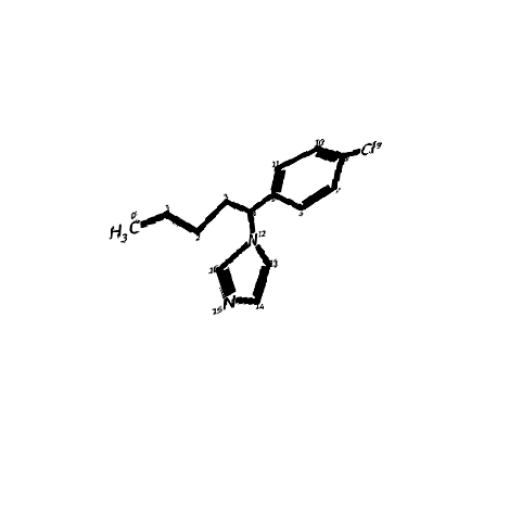 CCCCC(c1ccc(Cl)cc1)n1ccnc1